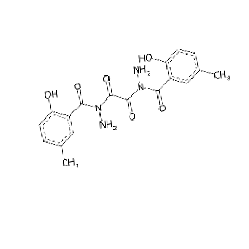 Cc1ccc(O)c(C(=O)N(N)C(=O)C(=O)N(N)C(=O)c2cc(C)ccc2O)c1